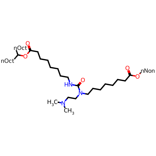 CCCCCCCCCOC(=O)CCCCCCCN(CCN(C)C)C(=O)NCCCCCCCC(=O)OC(CCCCCCCC)CCCCCCCC